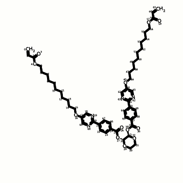 C=CC(=O)OCCCCCCCCCCCOc1cnc(-c2ccc(C(=O)O[C@H]3OCCO[C@@H]3OC(=O)c3ccc(-c4ncc(OCCCCCCCCCCCOC(=O)C=C)cn4)cc3)cc2)nc1